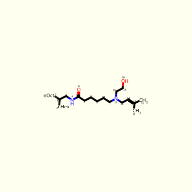 CCCCCCCCC(CCCCCC)CNC(=O)CCCCCN(CC=C(C)C)CCO